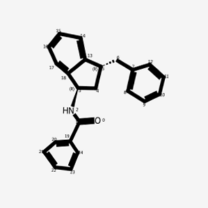 O=C(N[C@@H]1C[C@@H](Cc2ccccc2)c2ccccc21)c1ccccc1